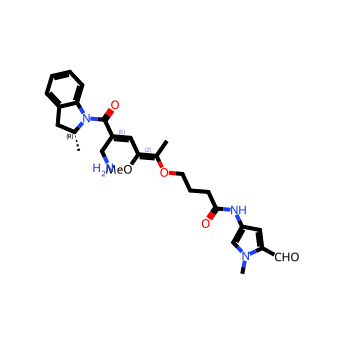 COC(/C=C(\CN)C(=O)N1c2ccccc2C[C@H]1C)=C(/C)OCCCC(=O)Nc1cc(C=O)n(C)c1